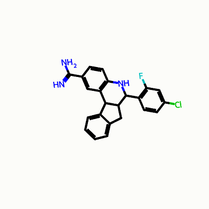 N=C(N)c1ccc2c(c1)C1c3ccccc3CC1C(c1ccc(Cl)cc1F)N2